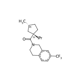 CC(C)[C@]1(C(=O)N2CCc3ccc(C(F)(F)F)cc3C2)CC[C@@H](C)C1